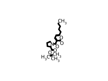 CCCCCc1ccc(C(=O)N2CCCC2C(=O)OC(C)(C)C)c(=O)o1